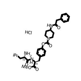 COC(=O)[C@H](Cc1ccc(OC(=O)N2CCC(NC(=O)Cc3ccccc3)CC2)cc1)NC(=O)[C@@H](N)CC(C)C.Cl